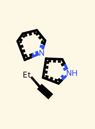 C#CCC.c1cc[nH]c1.c1ccncc1